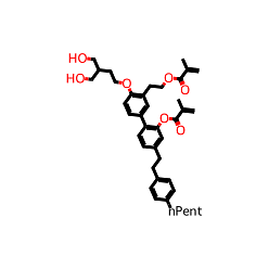 C=C(C)C(=O)OCCc1cc(-c2ccc(CCc3ccc(CCCCC)cc3)cc2OC(=O)C(=C)C)ccc1OCCC(CO)CO